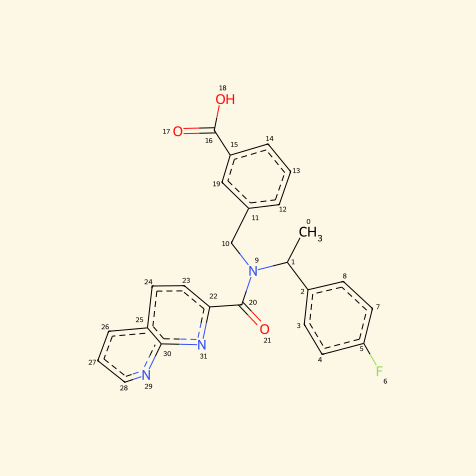 CC(c1ccc(F)cc1)N(Cc1cccc(C(=O)O)c1)C(=O)c1ccc2cccnc2n1